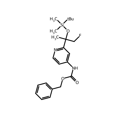 CC(CF)(O[Si](C)(C)C(C)(C)C)c1cc(NC(=O)OCc2ccccc2)ccn1